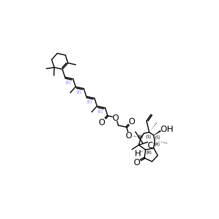 C=C[C@]1(C)C[C@@H](OC(=O)COC(=O)/C=C(C)/C=C/C=C(C)/C=C/C2=C(C)CCCC2(C)C)C2(C)C(C)CCC3(CCC(=O)[C@H]32)[C@@H](C)[C@@H]1O